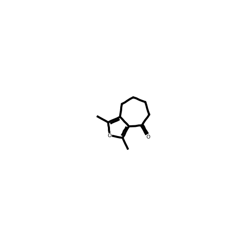 Cc1oc(C)c2c1CCCCC2=O